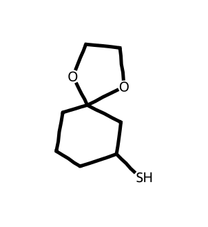 SC1CCCC2(C1)OCCO2